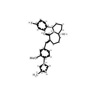 COc1cc(/C=C2\CCC[C@@H]3CCC[C@H](c4ccc(F)cc4)N3C2=O)ccc1-n1cnc(C)c1